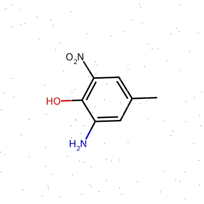 Cc1cc(N)c(O)c([N+](=O)[O-])c1